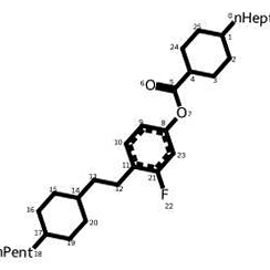 CCCCCCCC1CCC(C(=O)Oc2ccc(CCC3CCC(CCCCC)CC3)c(F)c2)CC1